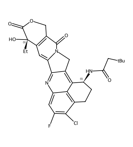 CC[C@@]1(O)C(=O)OCc2c1cc1n(c2=O)Cc2c-1nc1cc(F)c(Cl)c3c1c2[C@@H](NC(=O)CC(C)(C)C)CC3